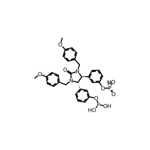 COc1ccc(CN2C(=O)N(Cc3ccc(OC)cc3)[C@@H](c3cccc(O[PH](=O)O)c3)[C@@H]2c2cccc(OP(O)O)c2)cc1